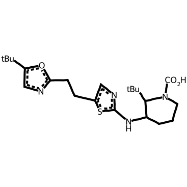 CC(C)(C)c1cnc(CCc2cnc(NC3CCCN(C(=O)O)C3C(C)(C)C)s2)o1